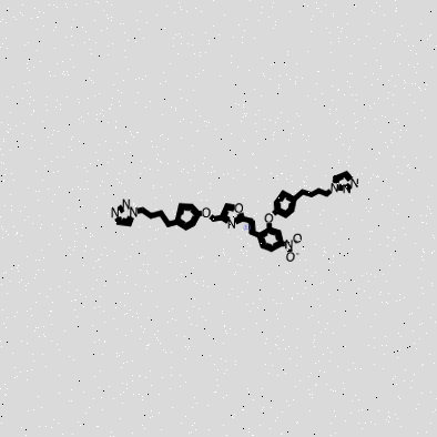 O=[N+]([O-])c1ccc(/C=C/c2nc(COc3ccc(CCCCn4ccnn4)cc3)co2)c(Oc2ccc(CCCCn3ccnn3)cc2)c1